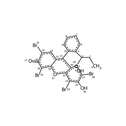 CCC(OO)c1ccccc1-c1c2cc(Br)c(=O)c(Br)c-2oc2c(Br)c(O)c(Br)cc12